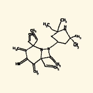 C=CC1(C=C)C(=C)C(=N)C(=C)C2(C=C)C(=C)N(C3CC(C)(C)NC(C)(C)C3)N12